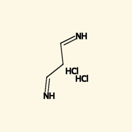 Cl.Cl.N=CCC=N